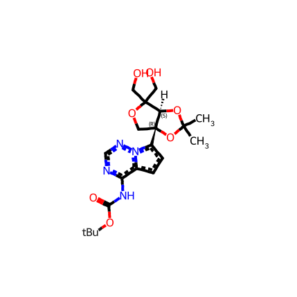 CC(C)(C)OC(=O)Nc1ncnn2c([C@@]34COC(CO)(CO)[C@H]3OC(C)(C)O4)ccc12